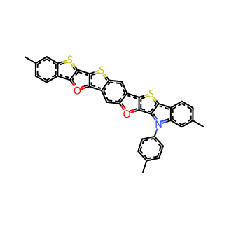 Cc1ccc(-n2c3cc(C)ccc3c3sc4c5cc6sc7c(oc8c9ccc(C)cc9sc87)c6cc5oc4c32)cc1